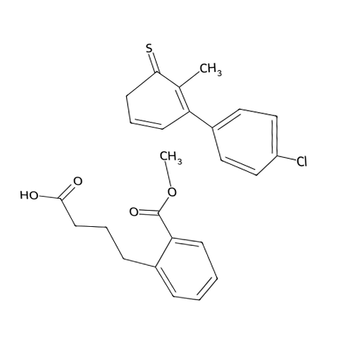 CC1=C(c2ccc(Cl)cc2)C=CCC1=S.COC(=O)c1ccccc1CCCC(=O)O